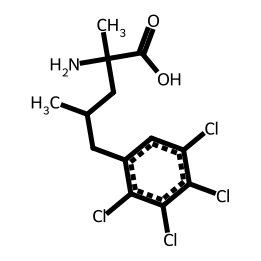 CC(Cc1cc(Cl)c(Cl)c(Cl)c1Cl)CC(C)(N)C(=O)O